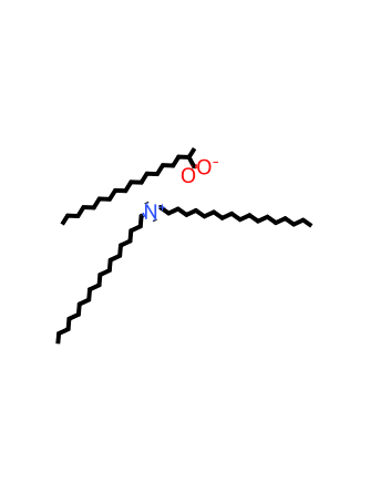 CCCCCCCCCCCCCCCCC(C)C(=O)[O-].CCCCCCCCCCCCCCCCCC[N+](C)(C)CCCCCCCCCCCCCCCCCC